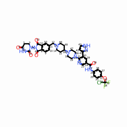 O=C1CCN(N2C(=O)c3ccc(CN4CCC(N5CCN(c6ncc(C(=O)Nc7ccc(OC(F)(F)Cl)cc7)cc6-c6cc[nH]n6)CC5)CC4)cc3C2=O)C(=O)N1